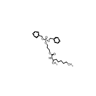 CCCCCCC(C)NC(=O)OCCCOP(=O)(OCc1ccccc1)OCc1ccccc1